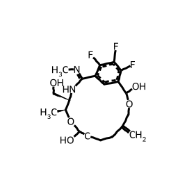 C=C1CCCC(O)O[C@@H](C)[C@@H](CO)N/C(=N\C)c2cc(c(F)c(F)c2F)C(O)OC1